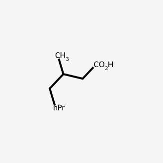 CCCCC(C)CC(=O)O